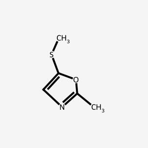 CSc1cnc(C)o1